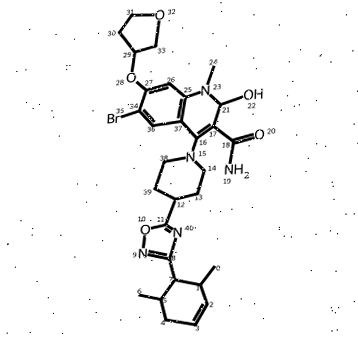 CC1C=CCC(C)C1c1noc(C2CCN(C3=C(C(N)=O)C(O)N(C)c4cc(OC5CCOC5)c(Br)cc43)CC2)n1